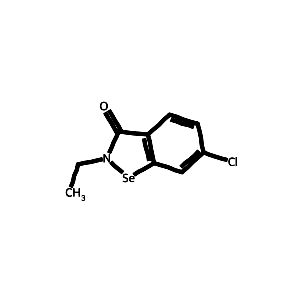 CCn1[se]c2cc(Cl)ccc2c1=O